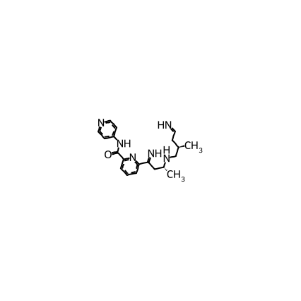 C[C@H](CC=N)CN[C@H](C)CC(=N)c1cccc(C(=O)Nc2ccncc2)n1